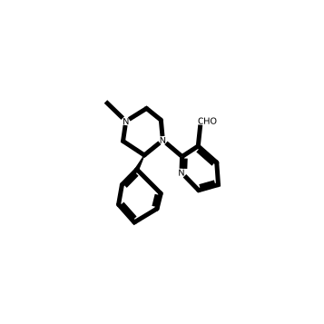 CN1CCN(c2ncccc2C=O)[C@@H](c2ccccc2)C1